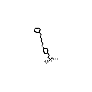 C[C@](N)(CO)CCc1ccc(OCCCCCc2ccccc2)cc1